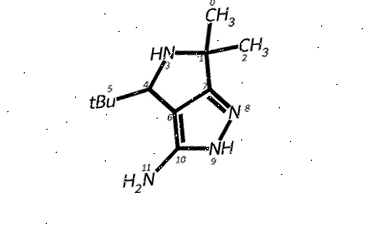 CC1(C)NC(C(C)(C)C)c2c1n[nH]c2N